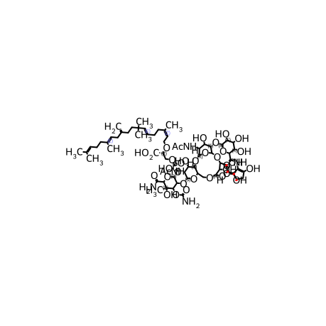 C=C(C/C=C(\C)CCC=C(C)C)CCC(C)(C)/C=C/CC/C(C)=C\CO[C@H](COP(=O)(O)O[C@H]1OC(C(N)=O)[C@@](C)(O)C(OC(N)=O)C1O[C@@H]1OC2CO[C@@H]3OC(CO)[C@@H](O)C(OC4O[C@@H](O[C@H]2C(O)C1NC(C)=O)C(NC(C)=O)C(O)[C@@H]4O[C@@H]1OC(C(=O)NC2=C(O)CCC2=O)[C@H](O)C(O)[C@@H]1O)C3O)C(=O)O